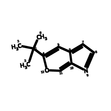 CC(C)(C)c1cc2ccnc-2co1